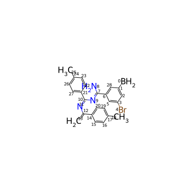 Bc1cc(Br)cc(/C(N)=N/C(=N\C(=C)c2ccc(C)cc2)c2ccc(C)cc2)c1